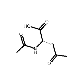 CC(=O)C[C@H](NC(C)=O)C(=O)O